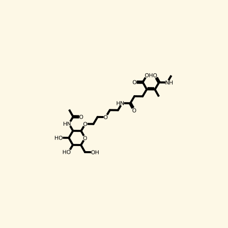 CNC(=O)/C(C)=C(/CCC(=O)NCCOCCOC1OC(CO)C(O)C(O)C1NC(C)=O)C(=O)O